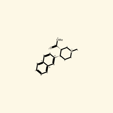 COC(=O)[C@@H]1CN(C)CC[C@@H]1c1ccc2ccccc2c1